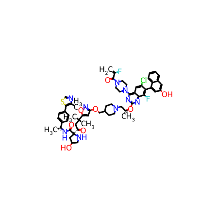 C=C(F)C(=O)N1CCN(c2nc(O[C@H](C)CN3CCC(COc4cc(C(C)(C)CC(=O)[C@@]5(C(=O)N[C@@H](C)c6ccc(-c7scnc7C)cc6)CC(O)CN5)on4)CC3)nc3c(F)c(-c4cc(O)cc5ccccc45)c(Cl)cc23)CC1